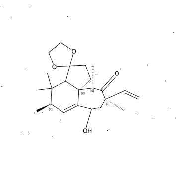 C=C[C@@]1(C)CC(O)C2=C[C@@H](C)C(C)(C)C3C4(CC[C@]23[C@H](C)C1=O)OCCO4